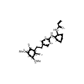 C=CC(=O)Nc1ccccc1Nc1ncc(CCc2c(F)c(OC)cc(OC)c2F)cn1